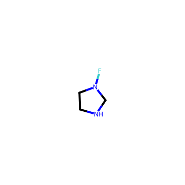 FN1CCNC1